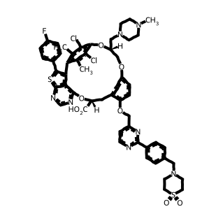 Cc1c(Cl)c2c(Cl)c(C)c1-c1c(-c3ccc(F)cc3)sc3ncnc(c13)O[C@@H](C(=O)O)Cc1cc(ccc1OCc1ccnc(-c3ccc(CN4CCS(=O)(=O)CC4)cc3)n1)OC[C@@H](CN1CCN(C)CC1)O2